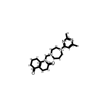 Cc1cc(N2CCCN(CN3C(=O)CCC4=C3CCCC4=O)CC2)nc(C)n1